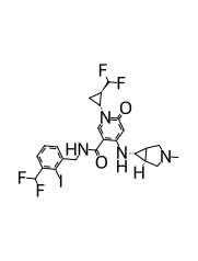 CN1CC2[C@@H](C1)[C@@H]2Nc1cc(=O)n([C@@H]2C[C@H]2C(F)F)cc1C(=O)NCc1cccc(C(F)F)c1I